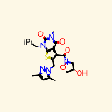 Cc1cc(C)n(Cc2sc3c(c2C(=O)N2C[C@H](O)CO2)c(=O)n(C)c(=O)n3CC(C)C)n1